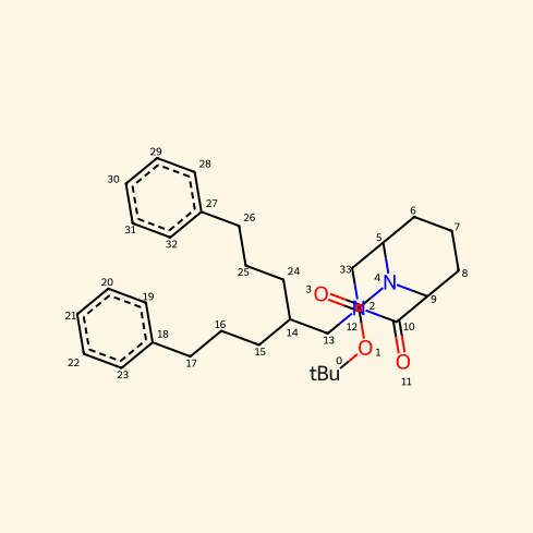 CC(C)(C)OC(=O)N1C2CCCC1C(=O)N(CC(CCCc1ccccc1)CCCc1ccccc1)C2